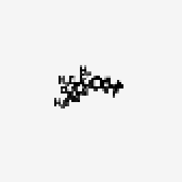 Cc1c(N2CCc3nc(C4(F)CC4)sc3C2)nc2nn(C)c(=O)n2c1C